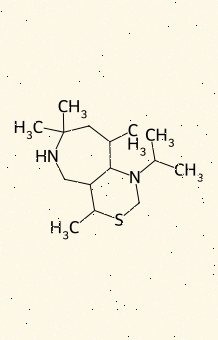 CC1CC(C)(C)NCC2C(C)SCN(C(C)C)C12